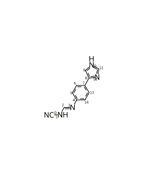 N#CNC=Nc1ccc(-c2c[nH]cn2)cc1